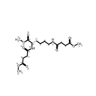 COC(=O)CCC(=O)NCCCC[C@H](NC(=O)CCC(=O)OC)C(=O)OC